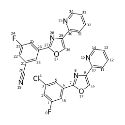 Fc1cc(Cl)cc(-c2nc(-c3ccccn3)co2)c1.N#Cc1cc(F)cc(-c2nc(-c3ccccn3)co2)c1